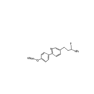 CCCCCCCCCOc1ccc(-c2ccc(CCC(F)CCC)cn2)cc1